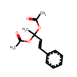 CC(=O)OC(C)(C=Cc1ccccc1)OC(C)=O